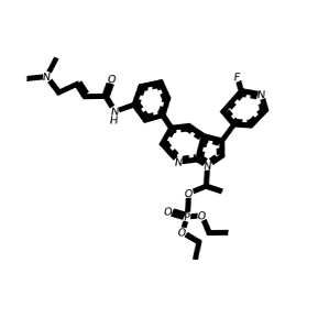 CCOP(=O)(OCC)OC(C)n1cc(-c2ccnc(F)c2)c2cc(-c3cccc(NC(=O)C=CCN(C)C)c3)cnc21